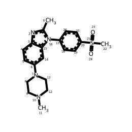 Cc1nc2ccc(N3CCN(C)CC3)cc2n1-c1ccc(S(C)(=O)=O)cc1